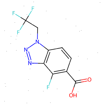 O=C(O)c1ccc2c(nnn2CC(F)(F)F)c1F